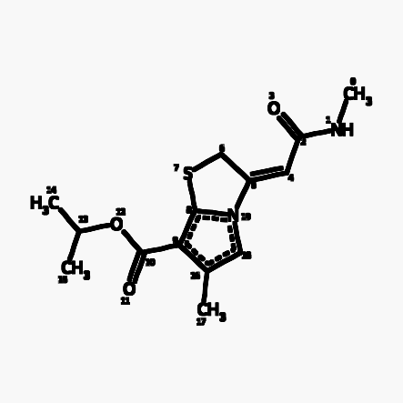 CNC(=O)/C=C1\CSc2c(C(=O)OC(C)C)c(C)cn21